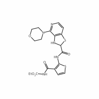 CCOC(=O)NC(=O)c1ccsc1NC(=O)C1Nc2c(ccnc2N2CCOCC2)S1